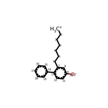 CCCCCCCc1cc(Br)ccc1-c1ccccc1